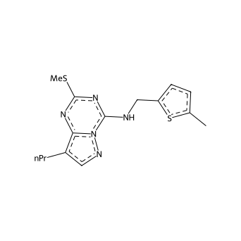 CCCc1cnn2c(NCc3ccc(C)s3)nc(SC)nc12